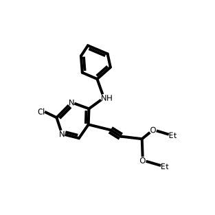 CCOC(C#Cc1cnc(Cl)nc1Nc1ccccc1)OCC